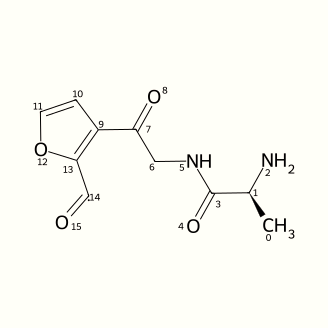 C[C@H](N)C(=O)NCC(=O)c1ccoc1[C]=O